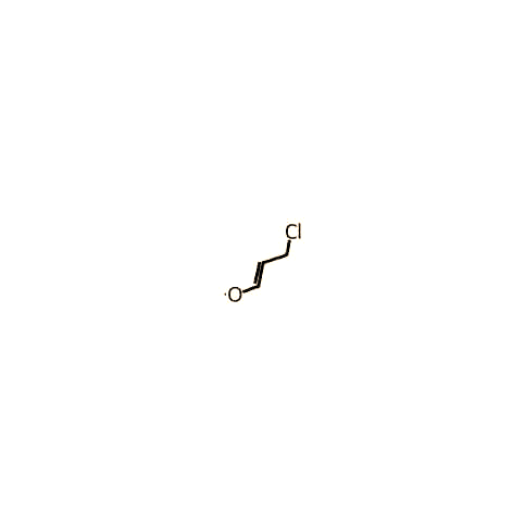 [O]C=CCCl